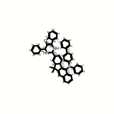 CC1(C)c2cc3ccccc3c(N(c3ccccc3)c3ccc(-c4ccccc4)cc3)c2C2C=CC(C3Nc4c(oc5ccccc45)C(c4ccccc4)N3)=CC21